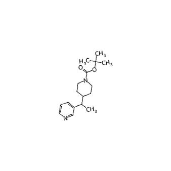 CC(c1cccnc1)C1CCN(C(=O)OC(C)(C)C)CC1